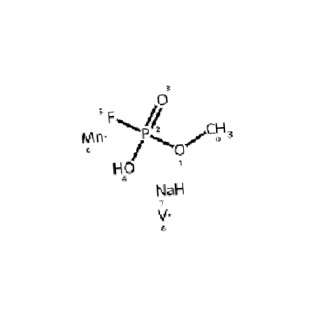 COP(=O)(O)F.[Mn].[NaH].[V]